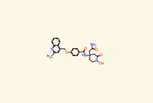 Cc1cc(COc2ccc(C(=O)NC3(CC(N)=O)CCN(O)C(=O)C3)cc2)c2ccccc2n1